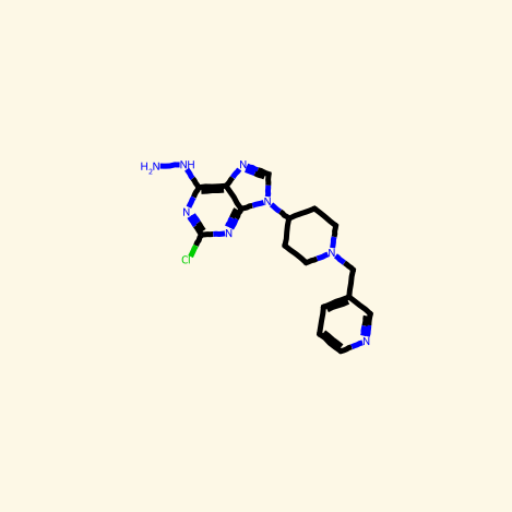 NNc1nc(Cl)nc2c1ncn2C1CCN(Cc2cccnc2)CC1